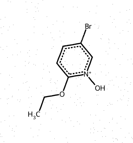 CCOc1ccc(Br)c[n+]1O